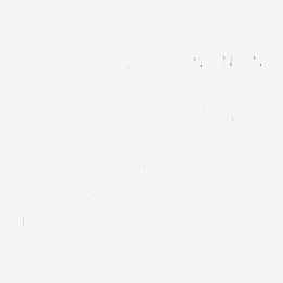 [N-]=[N+]=Nc1c2occc2c(OCCCC(=O)O)c2ccoc12